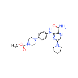 COC(=O)N1CCN(c2ccc(Nc3nc(N4CCCCC4)cnc3C(N)=O)cc2)CC1